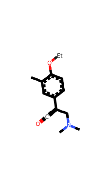 CCOc1ccc(C(=C=O)CN(C)C)cc1C